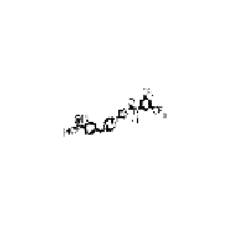 O=C(Nc1cc(C(F)(F)F)cc(C(F)(F)F)c1)N1CC(N2CCN(Cc3ccc(B(O)O)cc3)CC2)C1